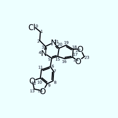 ClCCc1nc(-c2ccc3c(c2)OCO3)c2cc3c(cc2n1)OCO3